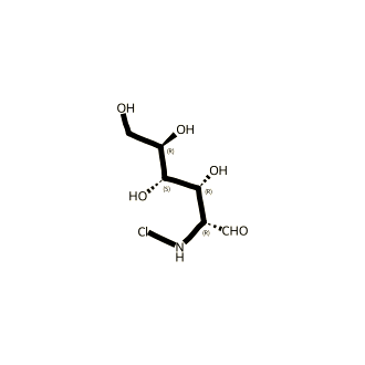 O=C[C@H](NCl)[C@@H](O)[C@H](O)[C@H](O)CO